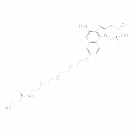 CCOCc1nc2c(N)nc3cc(OCCOCCOCCOCCNC(=O)CCS)ccc3c2n1CC(C)(C)O